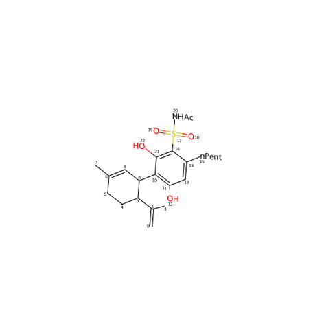 C=C(C)C1CCC(C)=CC1c1c(O)cc(CCCCC)c(S(=O)(=O)NC(C)=O)c1O